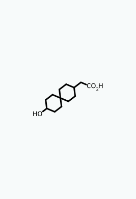 O=C(O)CC1CCC2(CCC(O)CC2)CC1